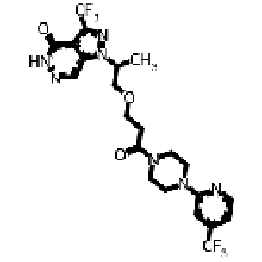 CC(COCCC(=O)N1CCN(c2cc(C(F)(F)F)ccn2)CC1)n1nc(C(F)(F)F)c2c(=O)[nH]ncc21